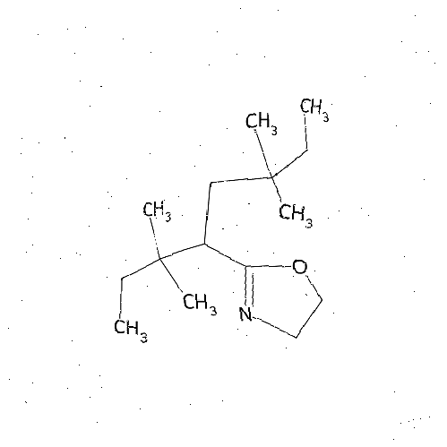 CCC(C)(C)CC(C1=NCCO1)C(C)(C)CC